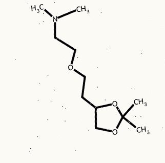 CN(C)CCOCCC1COC(C)(C)O1